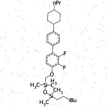 CCCC1CCC(c2ccc(-c3ccc(OC[Si](C)(C)O[Si](C)(C)CCC(C)CC)c(F)c3F)cc2)CC1